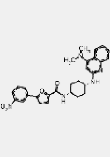 CN(C)c1cc(N[C@H]2CC[C@@H](NC(=O)c3ccc(-c4cccc([N+](=O)[O-])c4)o3)CC2)nc2ccccc12